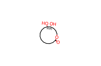 O=C1CCCCCCCCC[C@@H](O)[C@H](O)CCCO1